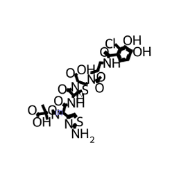 CC(C)(O/N=C(\C(=O)NC1C(=O)N2C(C(=O)O)C(N3CC(CNC(=O)c4ccc(O)c(O)c4Cl)OC3=O)S[C@H]12)c1csc(N)n1)C(=O)O